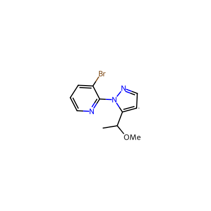 COC(C)c1[c]cnn1-c1ncccc1Br